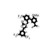 COc1ccc(C(F)F)cc1-c1ccc(C(F)(F)F)cc1CN1CC(c2cc(C(F)(F)F)cc(C(F)(F)F)c2)OC1=O